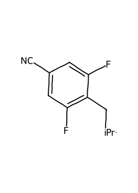 C[C](C)Cc1c(F)cc(C#N)cc1F